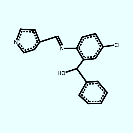 OC(c1ccccc1)c1cc(Cl)ccc1N=Cc1ccncc1